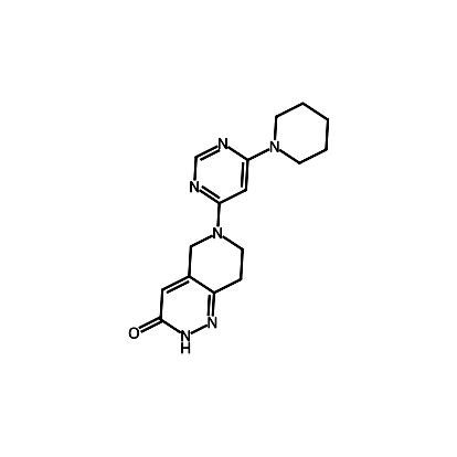 O=c1cc2c(n[nH]1)CCN(c1cc(N3CCCCC3)ncn1)C2